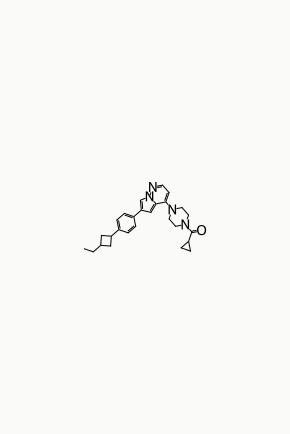 CCC1CC(c2ccc(-c3cc4c(N5CCN(C(=O)C6CC6)CC5)ccnn4c3)cc2)C1